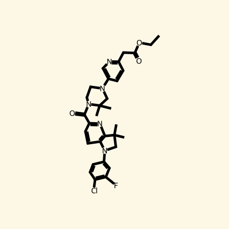 CCOC(=O)Cc1ccc(N2CCN(C(=O)c3ccc4c(n3)C(C)(C)CN4c3ccc(Cl)c(F)c3)C(C)(C)C2)cn1